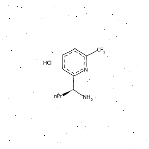 CCC[C@H](N)c1cccc(C(F)(F)F)n1.Cl